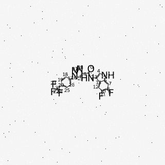 O=C(Nc1c[nH]c2cc(F)c(F)cc12)c1cn(-c2ccc(C(F)(F)F)cc2)nn1